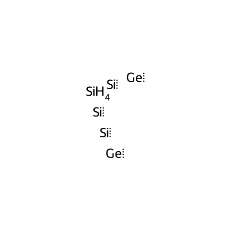 [Ge].[Ge].[SiH4].[Si].[Si].[Si]